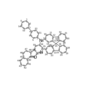 c1ccc(-c2ccc(N(c3ccc4c(c3)C3(c5ccccc5-c5ccccc53)c3ccccc3-4)c3cnc4oc5c6ccccc6ccc5c4c3)cc2)cc1